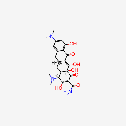 CN(C)c1cc(O)c2c(c1)C[C@H]1CC3[C@H](N(C)C)C(O)=C(C(N)=O)C(=O)[C@@]3(O)C(O)=C1C2=O